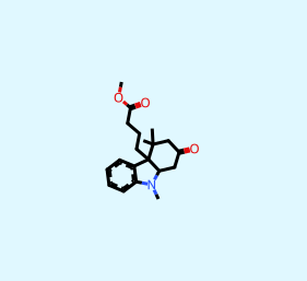 COC(=O)CCCC12c3ccccc3N(C)C1CC(=O)CC2(C)C